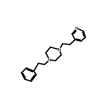 c1ccc(CCN2CCN(CCc3cccnc3)CC2)cc1